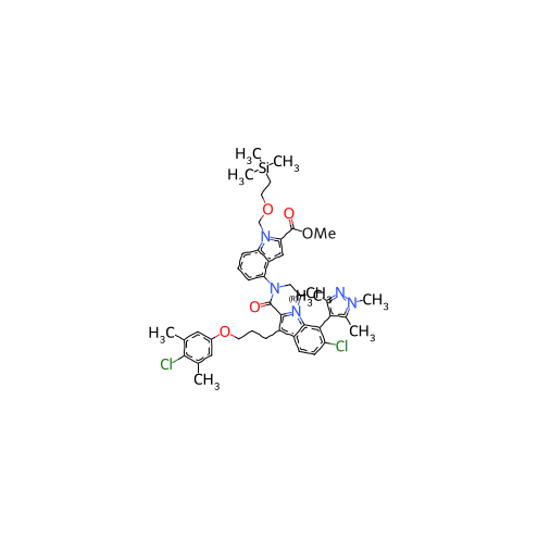 COC(=O)c1cc2c(N3C[C@@H](C)n4c(c(CCCOc5cc(C)c(Cl)c(C)c5)c5ccc(Cl)c(-c6c(C)nn(C)c6C)c54)C3=O)cccc2n1COCC[Si](C)(C)C